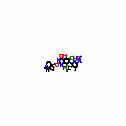 CPN(C)c1cc(C)c(C(F)(F)F)c(-c2c(Cl)cc3c(O)nc(OC[C@]45CCC[C@H]4N(C)CCC5)nc3c2F)n1